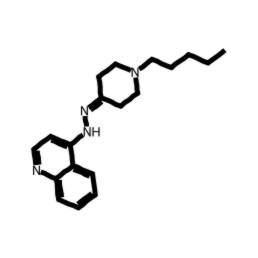 CCCCCN1CCC(=NNc2ccnc3ccccc23)CC1